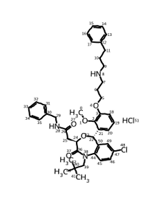 COc1c(OCCCNCCCc2ccccc2)cccc1[C@H]1O[C@H](CC(=O)NCc2ccccc2)C(=O)N(CC(C)(C)C)c2ccc(Cl)cc21.Cl